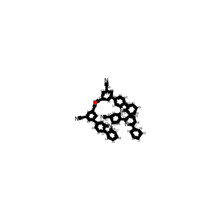 N#Cc1cc(C#N)cc(-c2ccc3c4ccccc4n(-c4cc(-c5cccc(-c6ccccc6)n5)c(-n5c6ccccc6c6ccc(-c7cc(C#N)cc(C#N)c7)cc65)cc4C#N)c3c2)c1